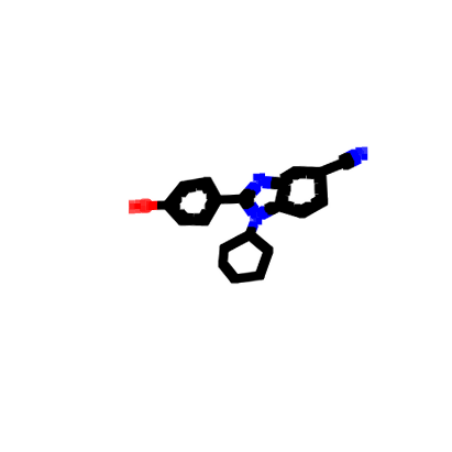 N#Cc1ccc2c(c1)nc(-c1ccc(O)cc1)n2C1CCCCC1